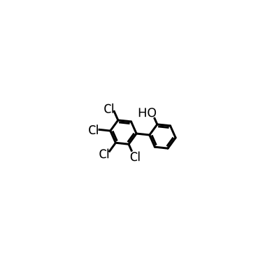 Oc1ccccc1-c1cc(Cl)c(Cl)c(Cl)c1Cl